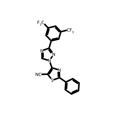 N#Cc1sc(-c2ccccc2)nc1-n1cnc(-c2cc(C(F)(F)F)cc(C(F)(F)F)c2)n1